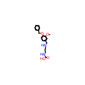 COc1cc(CNCCCNC(=O)O)ccc1OCc1ccccc1